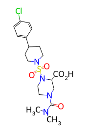 CN(C)C(=O)N1CCN(S(=O)(=O)N2CCC(c3ccc(Cl)cc3)CC2)C(C(=O)O)C1